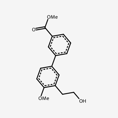 COC(=O)c1cccc(-c2ccc(OC)c(CCO)c2)c1